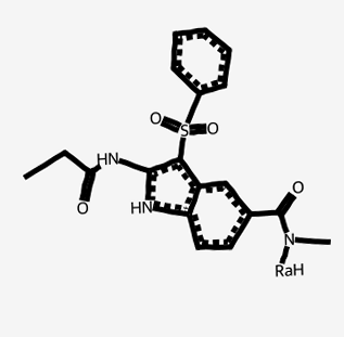 CCC(=O)Nc1[nH]c2ccc(C(=O)[N](C)[RaH])cc2c1S(=O)(=O)c1ccccc1